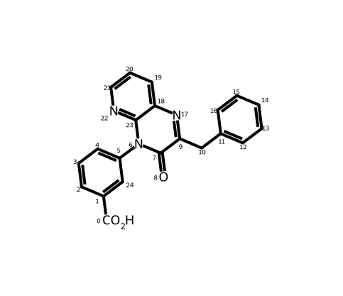 O=C(O)c1cccc(-n2c(=O)c(Cc3ccccc3)nc3cccnc32)c1